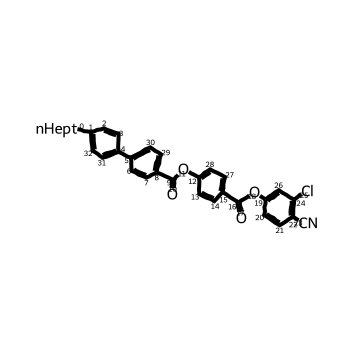 CCCCCCCc1ccc(-c2ccc(C(=O)Oc3ccc(C(=O)Oc4ccc(C#N)c(Cl)c4)cc3)cc2)cc1